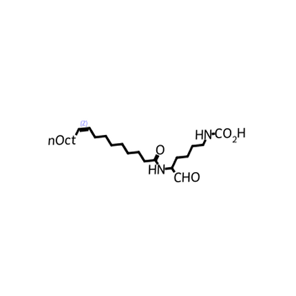 CCCCCCCC/C=C\CCCCCCCC(=O)NC(C=O)CCCCNC(=O)O